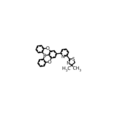 CC1(C)CSC(c2cccc(-c3cc4c5c(c3)Oc3ccccc3B5c3ccccc3O4)n2)=N1